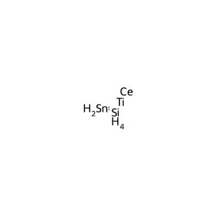 [Ce].[SiH4].[SnH2].[Ti]